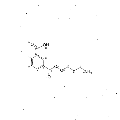 CCCCOOC(=O)c1cccc(C(=O)O)c1